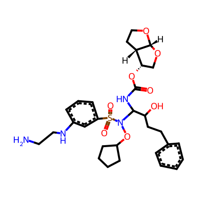 NCCNc1cccc(S(=O)(=O)N(OC2CCCC2)C(NC(=O)O[C@H]2CO[C@H]3OCC[C@H]32)C(O)CCc2ccccc2)c1